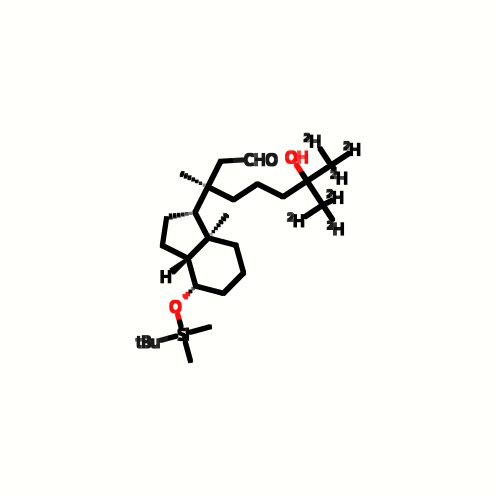 [2H]C([2H])([2H])C(O)(CCC[C@](C)(CC=O)[C@H]1CC[C@H]2[C@@H](O[Si](C)(C)C(C)(C)C)CCC[C@]12C)C([2H])([2H])[2H]